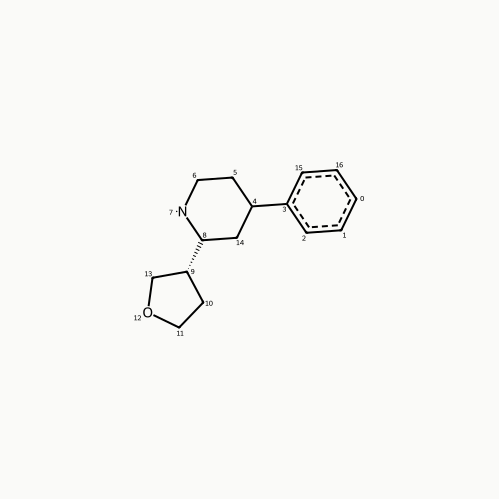 c1ccc(C2CC[N]C([C@@H]3CCOC3)C2)cc1